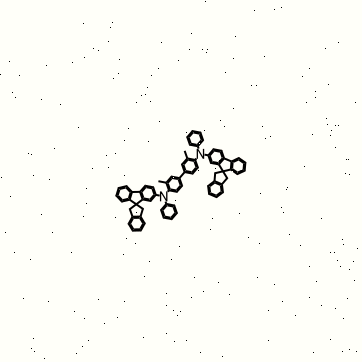 Cc1cc(-c2ccc(N(c3ccccc3)c3ccc4c(c3)C3(Cc5ccccc5C3)c3ccccc3-4)c(C)c2)ccc1N(c1ccccc1)c1ccc2c(c1)C1(Cc3ccccc3C1)c1ccccc1-2